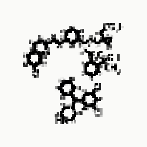 CC(C)(O)c1ccccc1CC[C@@H](SCC1(CC(=O)O)CC1)c1cccc(C=Cc2ccc3ccc(Cl)cc3n2)c1.Clc1cc(Cl)cc(C(c2ccccc2)N2CCNCC2)c1